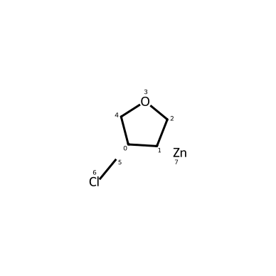 C1CCOC1.CCl.[Zn]